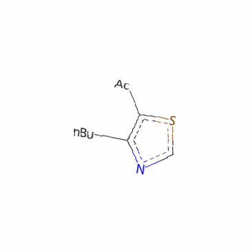 CCCCc1ncsc1C(C)=O